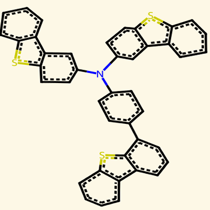 c1ccc2c(c1)sc1ccc(N(c3ccc(-c4cccc5c4sc4ccccc45)cc3)c3ccc4sc5ccccc5c4c3)cc12